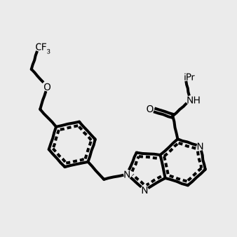 CC(C)NC(=O)c1nccc2nn(Cc3ccc(COCC(F)(F)F)cc3)cc12